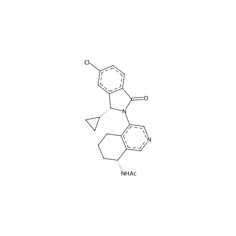 CC(=O)N[C@@H]1CCCc2c1cncc2N1C(=O)c2ccc(Cl)cc2[C@H]1C1CC1